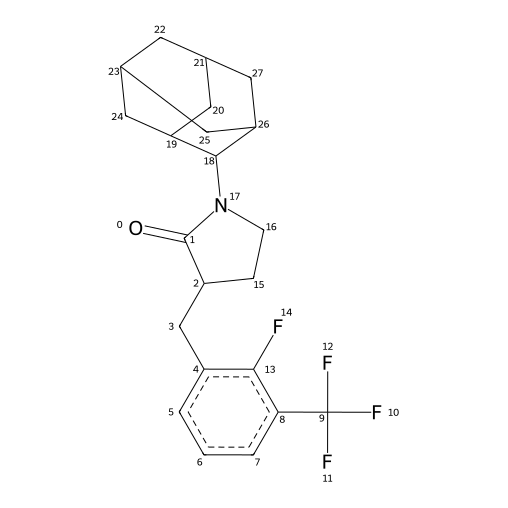 O=C1C(Cc2cccc(C(F)(F)F)c2F)CCN1C1C2CC3CC(C2)CC1C3